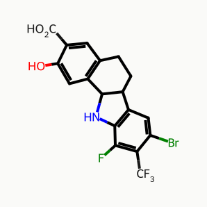 O=C(O)c1cc2c(cc1O)C1Nc3c(cc(Br)c(C(F)(F)F)c3F)C1CC2